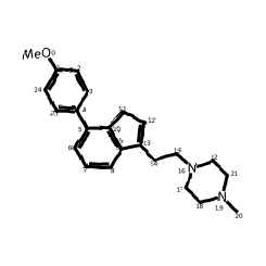 COc1ccc(-c2cccc3c2CC=C3CCN2CCN(C)CC2)cc1